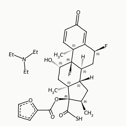 CCN(CC)CC.C[C@@H]1C[C@H]2[C@@H]3C[C@H](F)C4=CC(=O)C=C[C@]4(C)[C@@]3(F)[C@@H](O)C[C@]2(C)[C@@]1(OC(=O)c1ccco1)C(=O)S